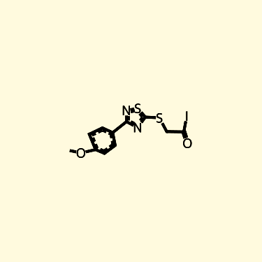 COc1ccc(-c2nsc(SCC(=O)I)n2)cc1